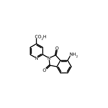 Nc1cccc2c1C(=O)N(c1cc(C(=O)O)ccn1)C2=O